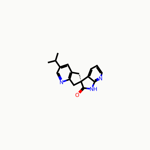 CC(C)c1cnc2c(c1)C[C@@]1(C2)C(=O)Nc2ncccc21